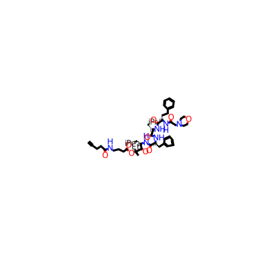 C#CCCC(=O)NCCCC(=O)O[C@](C)(CC)C(=O)[C@H](CC(C)C)NC(=O)[C@H](Cc1ccccc1)NC(=O)[C@H](CC(C)C)NC(=O)[C@H](CCc1ccccc1)NC(=O)CN1CCOCC1